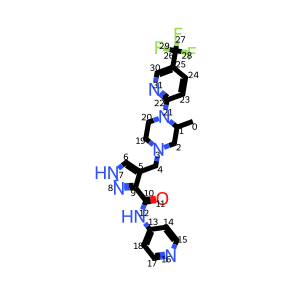 CC1CN(Cc2c[nH]nc2C(=O)Nc2ccncc2)CCN1c1ccc(C(F)(F)F)cn1